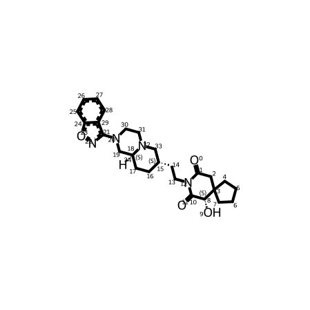 O=C1CC2(CCCC2)[C@H](O)C(=O)N1CC[C@@H]1CC[C@H]2CN(c3noc4ccccc34)CCN2C1